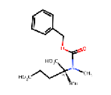 CCCC[C@@](CCC(=O)O)(C(=O)O)N(C)C(=O)OCc1ccccc1